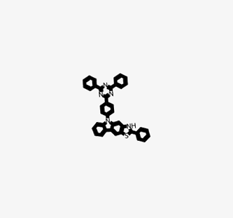 c1ccc(-c2nc(-c3ccccc3)nc(-c3ccc(-n4c5ccccc5c5cc6c(cc54)NC(c4ccccc4)S6)cc3)n2)cc1